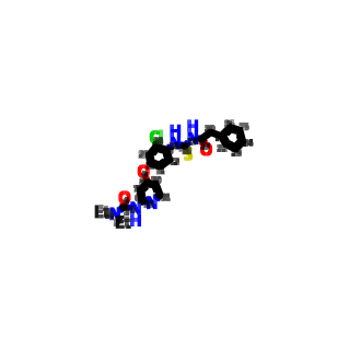 CCN(CC)C(=O)Nc1cc(Oc2ccc(NC(=S)NC(=O)Cc3ccccc3)c(Cl)c2)ccn1